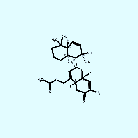 CC(=O)OCC1=C[C@H]([C@@H]2[C@@]3(C)CCCC(C)(C)[C@@H]3C=C[C@@]2(C)O)O[C@@H]2C=C(C)C(=O)C[C@H]12